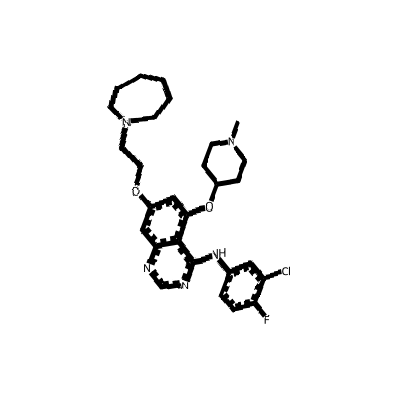 CN1CCC(Oc2cc(OCCN3CCCCCC3)cc3ncnc(Nc4ccc(F)c(Cl)c4)c23)CC1